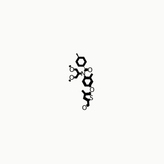 COCC(COC)N(c1ccc(Oc2sc(C=O)cc2C)cc1C)C(=O)[C@H]1CC[C@H](C)CC1